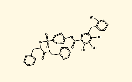 CC(C)c1ccccc1Cc1cc(C(=O)Nc2ccc(S(=O)(=O)NC(Cc3ccccc3)C(=O)OCc3ccccc3)cc2)c(O)c(O)c1O